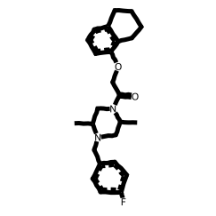 CC1CN(C(=O)COc2cccc3c2CCCC3)C(C)CN1Cc1ccc(F)cc1